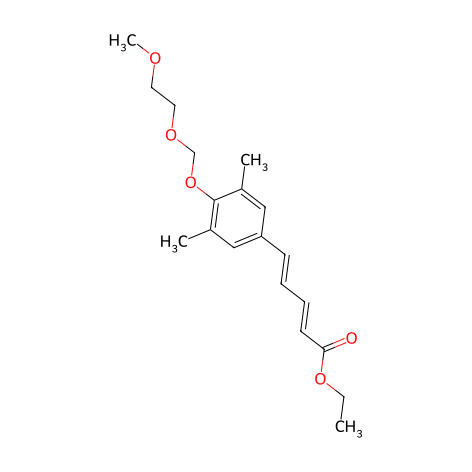 CCOC(=O)/C=C/C=C/c1cc(C)c(OCOCCOC)c(C)c1